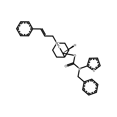 O=C(O[C@H]1C[N+]2(CC=Cc3ccccc3)CCC1CC2)N(Cc1ccccc1)c1cccs1